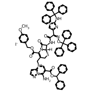 COc1ccc(COC(=O)C2=C(C[n+]3cc(C(=O)OC(c4ccccc4)c4ccccc4)c(N)n4nccc43)CS[C@H]3[C@H](NC(=O)C(=NOC(c4ccccc4)(c4ccccc4)c4ccccc4)c4csc(NC(c5ccccc5)(c5ccccc5)c5ccccc5)n4)C(=O)N23)cc1.[I-]